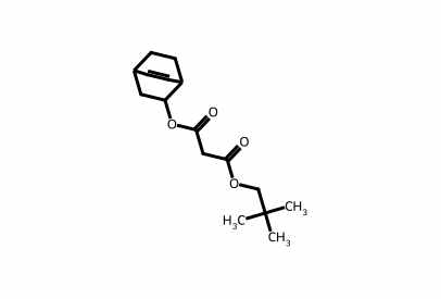 CC(C)(C)COC(=O)CC(=O)OC1CC2C=CC1CC2